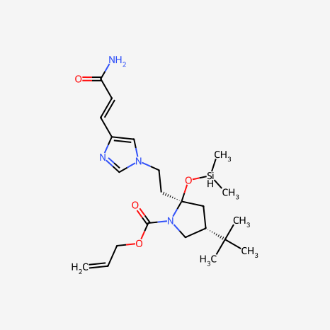 C=CCOC(=O)N1C[C@@H](C(C)(C)C)C[C@]1(CCn1cnc(C=CC(N)=O)c1)O[SiH](C)C